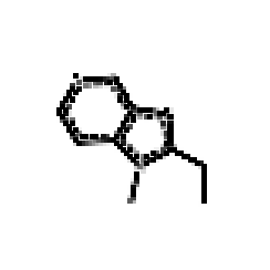 CCc1nc2cnccc2n1C